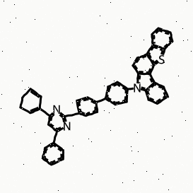 C1=CC(c2cc(-c3ccccc3)nc(-c3ccc(-c4ccc(-n5c6ccccc6c6c7sc8ccccc8c7ccc65)cc4)cc3)n2)=CCC1